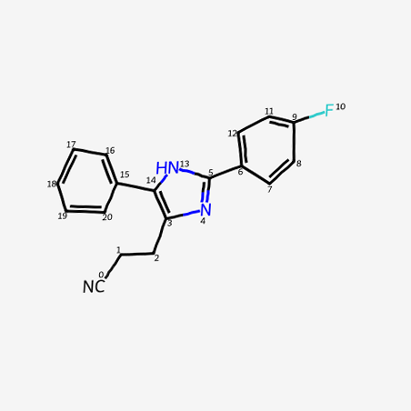 N#CCCc1nc(-c2ccc(F)cc2)[nH]c1-c1ccccc1